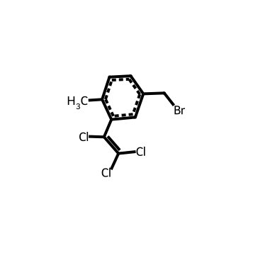 Cc1ccc(CBr)cc1C(Cl)=C(Cl)Cl